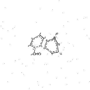 O=Cc1ccccc1.c1ccncc1